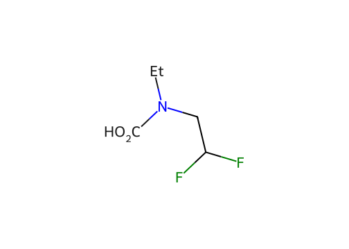 CCN(CC(F)F)C(=O)O